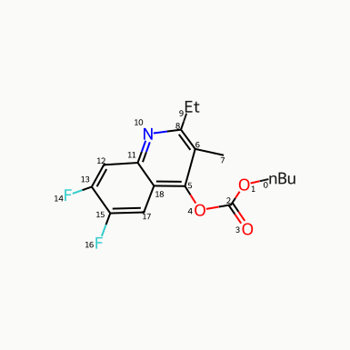 CCCCOC(=O)Oc1c(C)c(CC)nc2cc(F)c(F)cc12